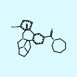 C=CCN1CCC2CCC(C1)N2Cc1ccc(C(=O)N2CCCCCC2)cc1-c1cccc(OC)c1